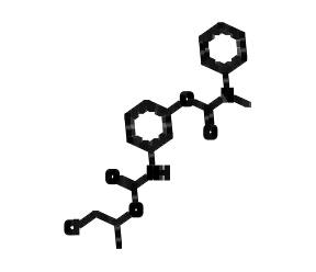 CC(CCl)OC(=O)Nc1cccc(OC(=O)N(C)c2ccccc2)c1